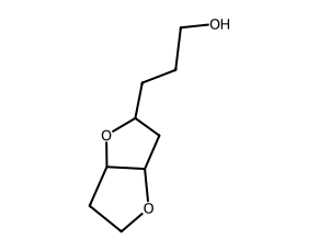 OCCCC1CC2OCCC2O1